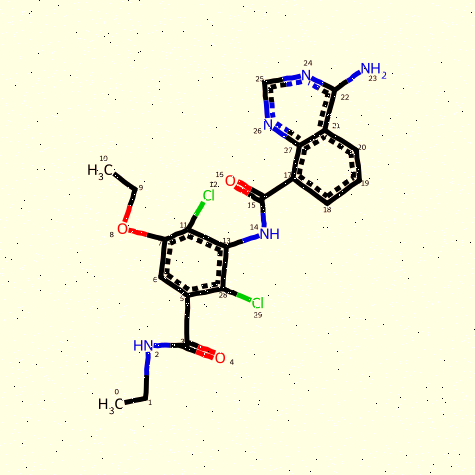 CCNC(=O)c1cc(OCC)c(Cl)c(NC(=O)c2cccc3c(N)ncnc23)c1Cl